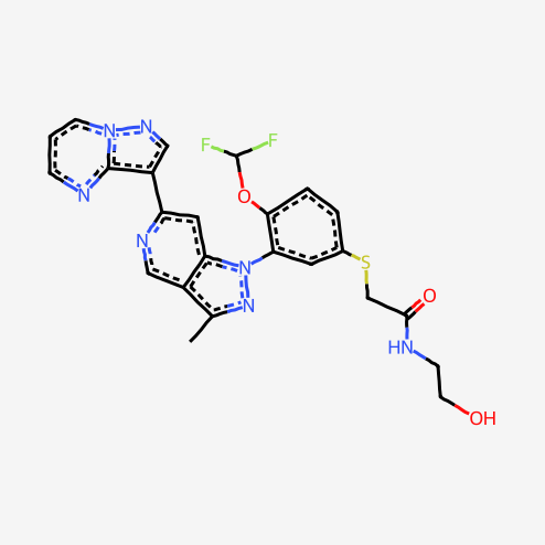 Cc1nn(-c2cc(SCC(=O)NCCO)ccc2OC(F)F)c2cc(-c3cnn4cccnc34)ncc12